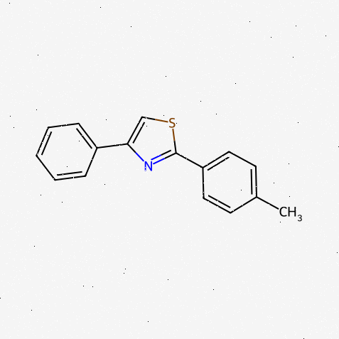 Cc1ccc(-c2nc(-c3ccccc3)cs2)cc1